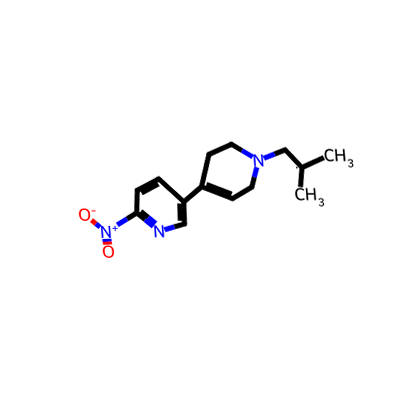 C[C](C)CN1CC=C(c2ccc([N+](=O)[O-])nc2)CC1